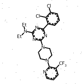 CCN(CC)c1nc(-c2cccc(Cl)c2Cl)nc(N2CCN(c3ncccc3C(F)(F)F)CC2)n1